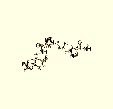 CNC(=O)c1cn(CC(F)CCn2cc(C(=O)NCc3cc(OC(F)(F)F)ccc3F)nn2)nn1